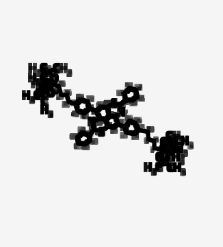 C[Si](C)(C)O[Si](C)(CCCCc1ccc(-c2cc3c4c(c(-c5ccc(CCCC[Si](C)(O[Si](C)(C)C)O[Si](C)(C)C)cc5)cc5c4c2N=C(c2ccccc2)S5)N=C(c2ccccc2)S3)cc1)O[Si](C)(C)C